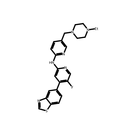 CCN1CCN(Cc2ccc(Nc3cc(-c4ccc5scnc5c4)c(F)cn3)nc2)CC1